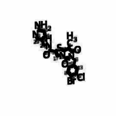 Cc1c(=O)n(Cc2ccc(Br)c(Cl)c2)c(=O)n2cc(C(=O)NCc3ccc(N)nc3)sc12